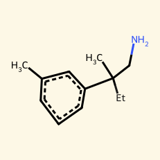 CCC(C)(CN)c1cccc(C)c1